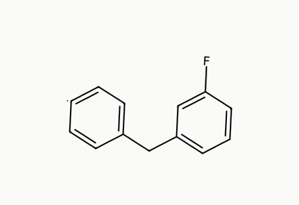 Fc1cccc(Cc2cc[c]cc2)c1